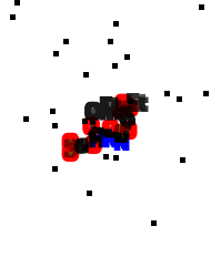 CCOP(=O)(OCC)c1ccc(Oc2cnc(NC(=O)c3cc(OCCOC)cc(Oc4ccc(S(C)(=O)=O)cc4)c3)s2)cc1